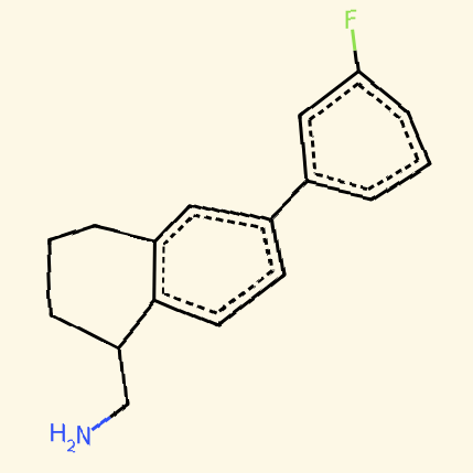 NCC1CCCc2cc(-c3cccc(F)c3)ccc21